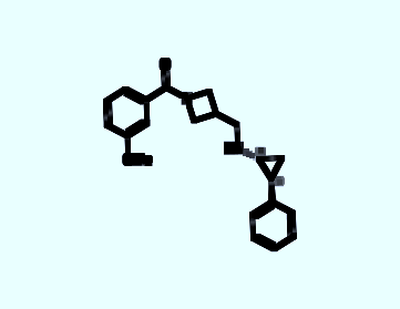 COc1cccc(C(=O)N2CC(CN[C@@H]3C[C@H]3c3ccccc3)C2)c1